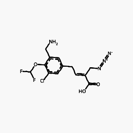 [N-]=[N+]=NC/C(=C\Cc1cc(Cl)c(OC(F)F)c(CN)c1)C(=O)O